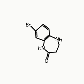 O=C1CCNc2ccc(Br)cc2N1